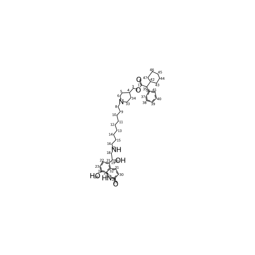 O=C(OCC1CCN(CCCCCCCCCNCC(O)c2ccc(O)c3[nH]c(=O)ccc23)CC1)C(c1ccccc1)C1CCCCC1